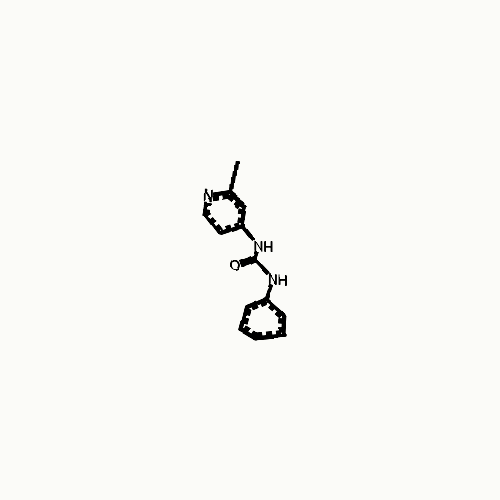 Cc1cc(NC(=O)Nc2ccccc2)ccn1